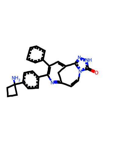 NC1(c2ccc(C3=C(c4ccccc4)C=C4CC(=N3)C=Cn3c4n[nH]c3=O)cc2)CCC1